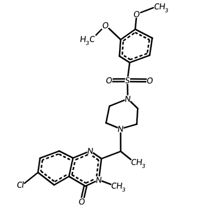 COc1ccc(S(=O)(=O)N2CCN(C(C)c3nc4ccc(Cl)cc4c(=O)n3C)CC2)cc1OC